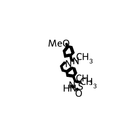 CN=C(c1ccc(OC)cc1)N1CCCc2cc(C3=NNC(=O)SC3(C)C)ccc21